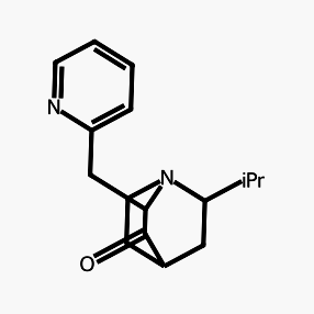 CC(C)C1CC2CCN1C(Cc1ccccn1)C2=O